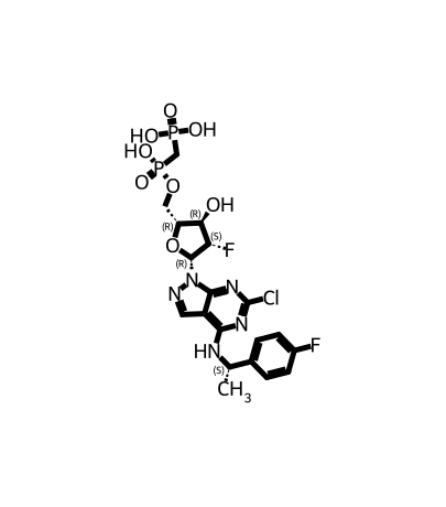 C[C@H](Nc1nc(Cl)nc2c1cnn2[C@@H]1O[C@H](COP(=O)(O)CP(=O)(O)O)[C@@H](O)[C@@H]1F)c1ccc(F)cc1